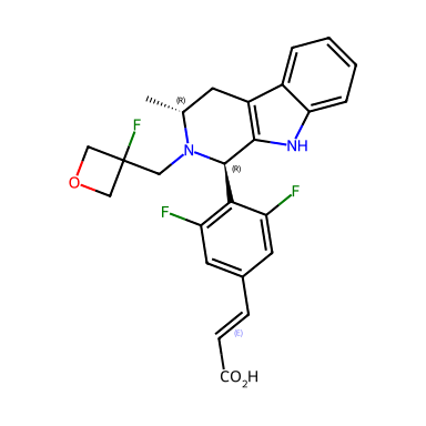 C[C@@H]1Cc2c([nH]c3ccccc23)[C@@H](c2c(F)cc(/C=C/C(=O)O)cc2F)N1CC1(F)COC1